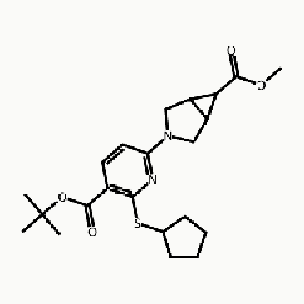 COC(=O)C1C2CN(c3ccc(C(=O)OC(C)(C)C)c(SC4CCCC4)n3)CC21